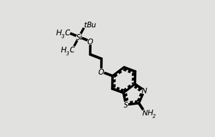 CC(C)(C)[Si](C)(C)OCCOc1ccc2nc(N)sc2c1